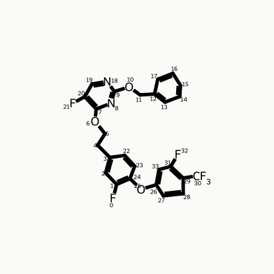 Fc1cc(CCOc2nc(OCc3ccccc3)ncc2F)ccc1Oc1ccc(C(F)(F)F)c(F)c1